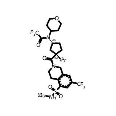 CC(C)[C@]1(C(=O)N2CCc3c(cc(C(F)(F)F)cc3S(=O)(=O)NC(C)(C)C)C2)CC[C@@H](N(C(=O)C(F)(F)F)C2CCOCC2)C1